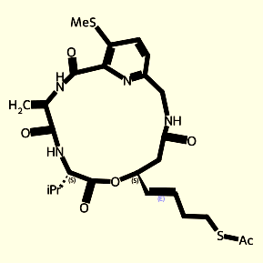 C=C1NC(=O)c2nc(ccc2SC)CNC(=O)C[C@@H](/C=C/CCSC(C)=O)OC(=O)[C@H](C(C)C)NC1=O